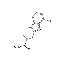 C=C(Cc1oc2c(Cl)cccc2c1C)C(=O)NC